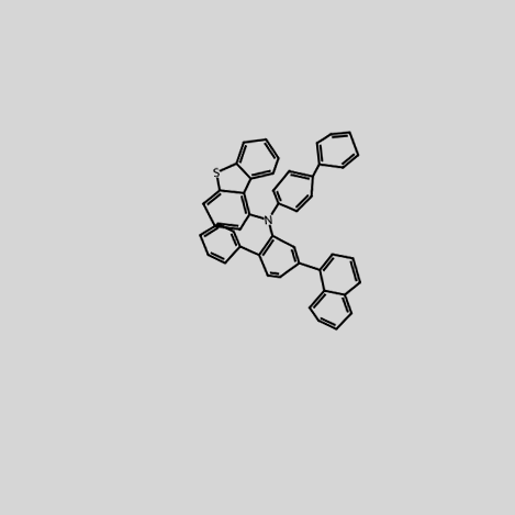 c1ccc(-c2ccc(N(c3cc(-c4cccc5ccccc45)ccc3-c3ccccc3)c3cccc4sc5ccccc5c34)cc2)cc1